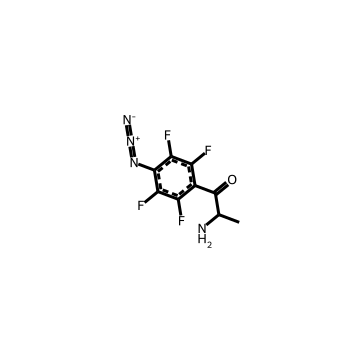 CC(N)C(=O)c1c(F)c(F)c(N=[N+]=[N-])c(F)c1F